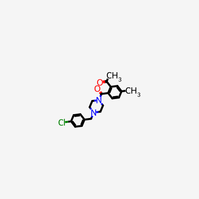 CC(=O)c1cc(C)ccc1C(=O)N1CCN(Cc2ccc(Cl)cc2)CC1